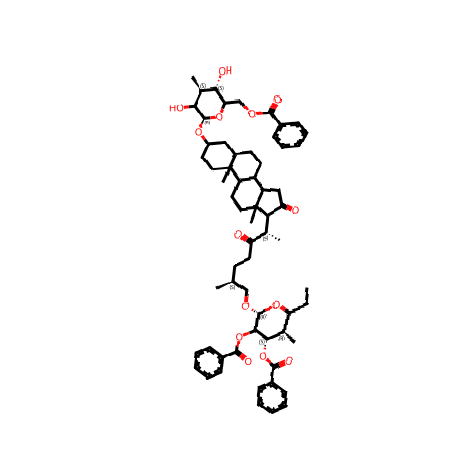 CCC1O[C@@H](OC[C@@H](C)CCC(=O)[C@@H](C)C2C(=O)CC3C4CCC5CC(O[C@@H]6OC(COC(=O)c7ccccc7)[C@@H](O)[C@H](C)C6O)CCC5(C)C4CCC32C)C(OC(=O)c2ccccc2)[C@@H](OC(=O)c2ccccc2)[C@@H]1C